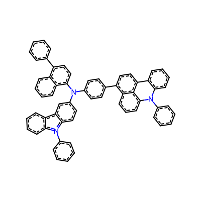 c1ccc(-c2ccc(N(c3ccc(-c4ccc5c6c(cccc46)N(c4ccccc4)c4ccccc4-5)cc3)c3ccc4c(c3)c3ccccc3n4-c3ccccc3)c3ccccc23)cc1